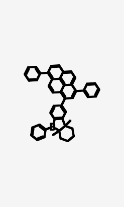 CC12CCCCC1(C)c1cc(-c3cc(-c4ccccc4)c4ccc5ccc(-c6ccccc6)c6ccc3c4c56)ccc1B2c1ccccc1